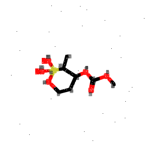 COC(=O)OC1CCOS(O)(O)C1C